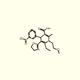 CCC1=C(C2=NCCO2)C(c2cccc([N+](=O)[O-])c2)C(C(=O)O)=C(C)N1CCOC